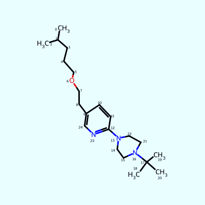 CC(C)CCCOCCc1ccc(N2CCN(C(C)(C)C)CC2)nc1